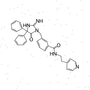 N=C1NC(c2ccccc2)(c2ccccc2)C(=O)N1Cc1cccc(C(=O)NCCc2ccncc2)c1